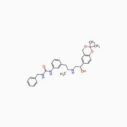 C[C@H](Cc1cccc(NC(=O)NCc2ccccc2)c1)NC[C@H](O)c1ccc2c(c1)COC(C)(C)O2